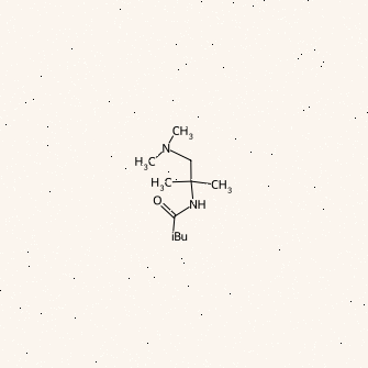 CCC(C)C(=O)NC(C)(C)CN(C)C